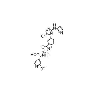 C[C@H](C(=O)N[C@H](CO)c1ccnc(N(C)C)c1)N1Cc2ccc(-c3nc(Nc4cnn(C)n4)ncc3Cl)cc2C1=O